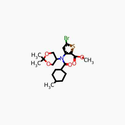 COC(=O)c1sc(Br)cc1N(C(=O)C1CCC(C)CC1)C1COC(C)(C)OC1